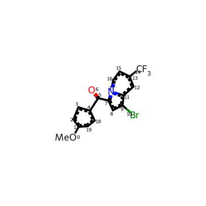 COc1ccc(C(=O)c2cc(Br)c3cc(C(F)(F)F)ccn23)cc1